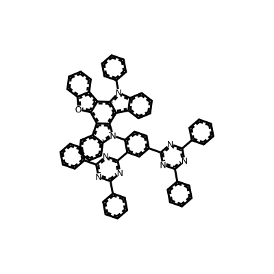 c1ccc(-c2nc(-c3ccccc3)nc(-c3ccc(-n4c5ccccc5c5c6oc7ccccc7c6c6c(c7ccccc7n6-c6ccccc6)c54)c(-c4nc(-c5ccccc5)nc(-c5ccccc5)n4)c3)n2)cc1